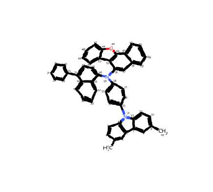 Cc1ccc2c(c1)c1cc(C)ccc1n2-c1ccc(N(c2ccc(-c3ccccc3)c3ccccc23)c2cc3ccccc3c3oc4ccccc4c23)cc1